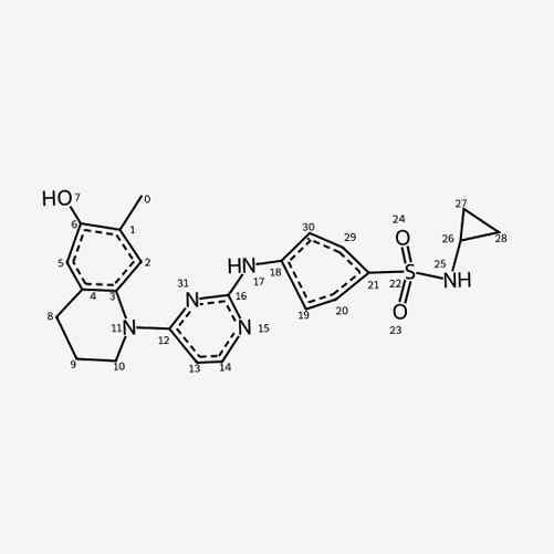 Cc1cc2c(cc1O)CCCN2c1ccnc(Nc2ccc(S(=O)(=O)NC3CC3)cc2)n1